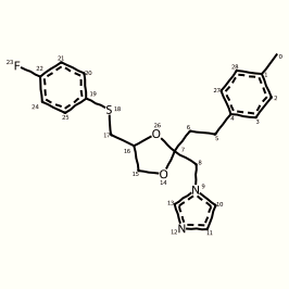 Cc1ccc(CCC2(Cn3ccnc3)OCC(CSc3ccc(F)cc3)O2)cc1